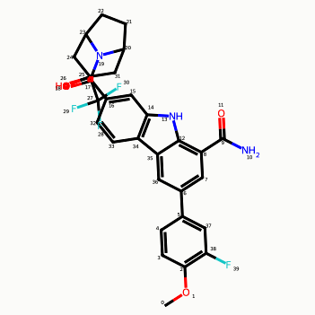 COc1ccc(-c2cc(C(N)=O)c3[nH]c4cc(C(=O)N5C6CCC5CC(O)(C(F)(F)F)C6)ccc4c3c2)cc1F